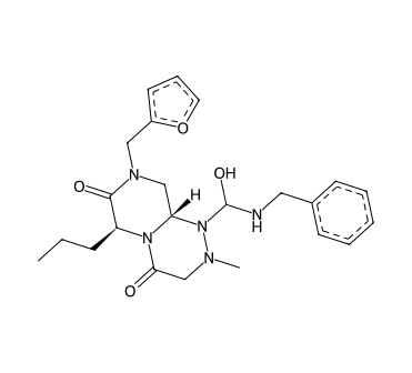 CCC[C@H]1C(=O)N(Cc2ccco2)C[C@H]2N1C(=O)CN(C)N2C(O)NCc1ccccc1